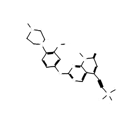 CCCOc1cc(Nc2ncc3c(C#C[Si](C(C)C)(C(C)C)C(C)C)cc(=O)n(C)c3n2)ccc1N1CCN(C)CC1